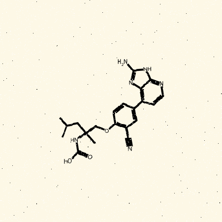 CC(C)CC(C)(COc1ccc(-c2ccnc3[nH]c(N)nc23)cc1C#N)NC(=O)O